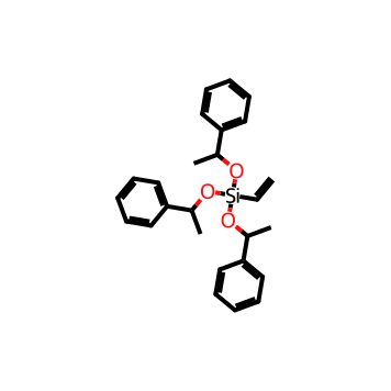 C=C[Si](OC(C)c1ccccc1)(OC(C)c1ccccc1)OC(C)c1ccccc1